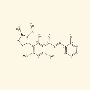 COc1cc(OC)c(C2CCN(C)C2CO)c(O)c1C(=O)C=Cc1ccccc1Br